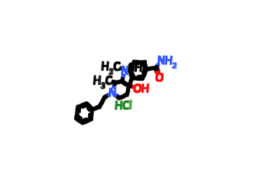 CC1C(N(C)C)C(O)(c2cccc(C(N)=O)c2)CCN1CCc1ccccc1.Cl